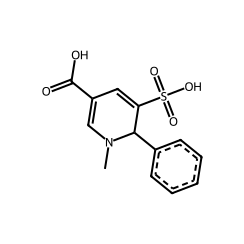 CN1C=C(C(=O)O)C=C(S(=O)(=O)O)C1c1ccccc1